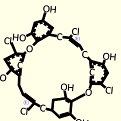 OC1=CC2CC(O)=C1Oc1cc(c(O)cc1Cl)C/C=C(/Cl)Cc1cc(O)cc(O)c1Oc1cc(c(O)cc1Cl)C/C=C(/Cl)C2